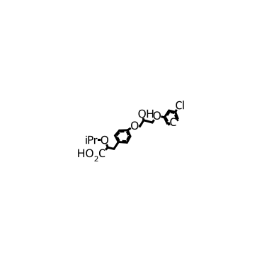 CC(C)OC(Cc1ccc(OCC(O)COc2cccc(Cl)c2)cc1)C(=O)O